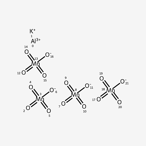 [Al+3].[K+].[O]=[Mn](=[O])(=[O])[O-].[O]=[Mn](=[O])(=[O])[O-].[O]=[Mn](=[O])(=[O])[O-].[O]=[Mn](=[O])(=[O])[O-]